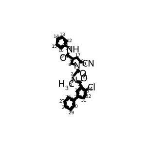 CN(CC(=O)N1CC(C(=O)Nc2ccccc2)CC1C#N)C(=O)c1cc(-c2ccccc2)ccc1Cl